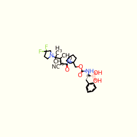 CC(C(C#N)C(=O)N1C2CCC1(COC(=O)N[C@@H](Cc1ccccc1)B(O)O)CC2)C(C)(C)N1CCC(F)(F)C1